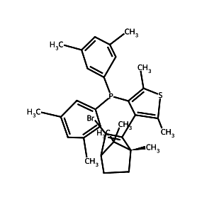 Cc1cc(C)cc(P(c2cc(C)cc(C)c2)c2c(C)sc(C)c2C2=C(Br)C3CC[C@]2(C)C3(C)C)c1